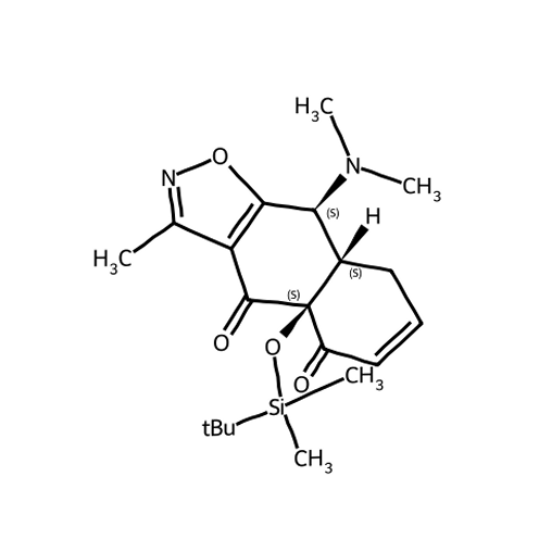 Cc1noc2c1C(=O)[C@@]1(O[Si](C)(C)C(C)(C)C)C(=O)C=CC[C@H]1[C@@H]2N(C)C